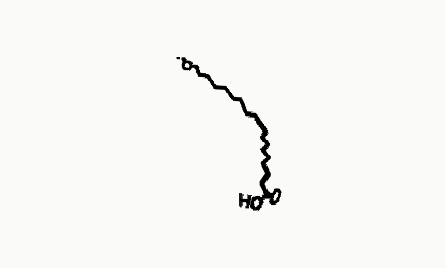 [CH2]OCCCCCCCC/C=C\CCCCCCCC(=O)O